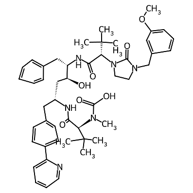 COc1cccc(CN2CCN([C@H](C(=O)N[C@@H](Cc3ccccc3)[C@@H](O)C[C@@H](Cc3ccc(-c4ccccn4)cc3)NC(=O)[C@@H](N(C)C(=O)O)C(C)(C)C)C(C)(C)C)C2=O)c1